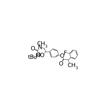 CC(C(=O)Oc1ccc(C(O)CN(C)C(=O)OC(C)(C)C)cc1)c1ccccc1F